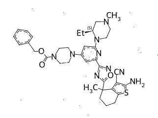 CC[C@H]1CN(C)CCN1c1cc(N2CCN(C(=O)OCc3ccccc3)CC2)cc(-c2noc(C3(C)CCCc4sc(N)c(C#N)c43)n2)n1